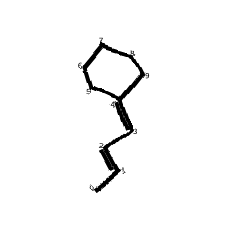 CC=CC=C1CCCCC1